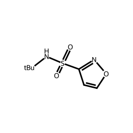 CC(C)(C)NS(=O)(=O)c1ccon1